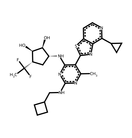 Cc1nc(NCC2CCC2)nc(N[C@@H]2C[C@H](C(C)(F)F)[C@@H](O)[C@H]2O)c1-c1nc2c(C3CC3)nccc2s1